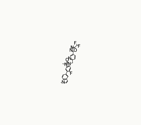 Cn1ccc2cc(-c3cc4c(cc3F)n(Cc3ccc(-c5nnc(C(F)F)o5)cn3)c(=O)n4C)ccc21